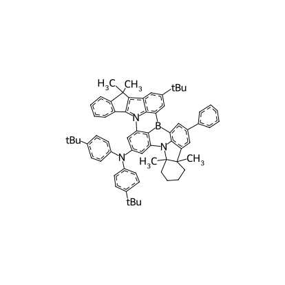 CC(C)(C)c1ccc(N(c2ccc(C(C)(C)C)cc2)c2cc3c4c(c2)-n2c5c(c6cc(C(C)(C)C)cc(c62)B4c2cc(-c4ccccc4)cc4c2N3C2(C)CCCCC42C)C(C)(C)c2ccccc2-5)cc1